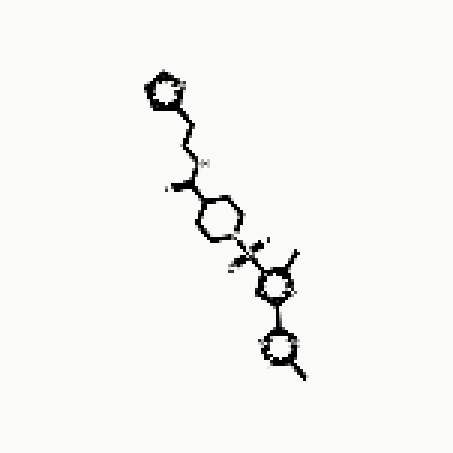 Cc1nc(-c2cc(S(=O)(=O)N3CCC(C(=O)NCCc4cccs4)CC3)c(C)s2)no1